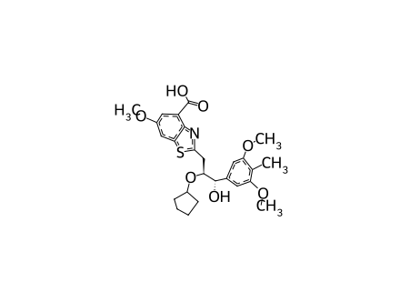 COc1cc(C(=O)O)c2nc(C[C@H](OC3CCCC3)[C@@H](O)c3cc(OC)c(C)c(OC)c3)sc2c1